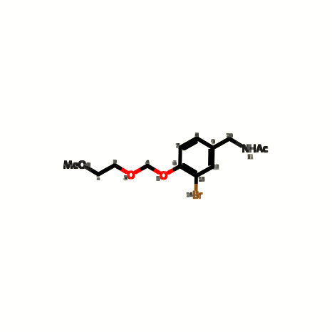 COCCOCOc1ccc(CNC(C)=O)cc1Br